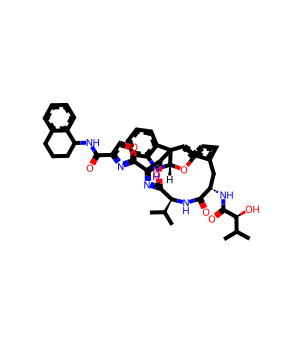 CC(C)[C@H](O)C(=O)N[C@H]1Cc2ccc3c(c2)C2(c4ccccc4N[C@H]2O3)c2oc(nc2-c2nc(C(=O)NC3CCCc4ccccc43)co2)[C@H](C(C)C)NC1=O